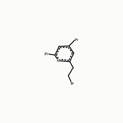 CC(C)c1cc(CCBr)nc(C(C)C)c1